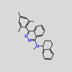 Cc1cc(C)c(-c2nnc(N(C)C3CCCc4ccccc43)c3ccccc23)c(C)c1